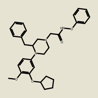 COc1ccc(N2CCN(CC(=O)NOc3ccccc3)CC2Cc2ccccc2)cc1OC1CCCC1